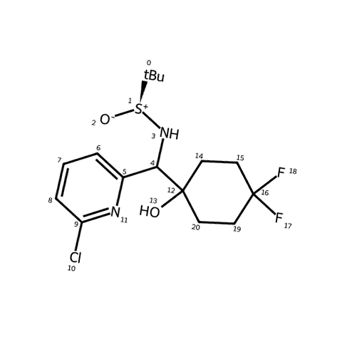 CC(C)(C)[S@+]([O-])NC(c1cccc(Cl)n1)C1(O)CCC(F)(F)CC1